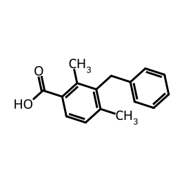 Cc1ccc(C(=O)O)c(C)c1Cc1ccccc1